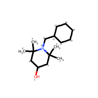 CC1(C)CC(O)CC(C)(C)N1CC1CCCCC1